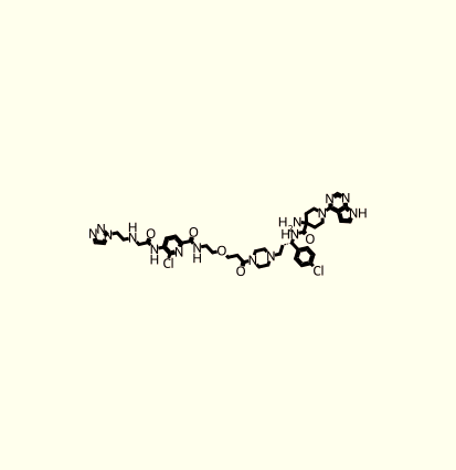 NC1(C(=O)N[C@@H](CCN2CCN(C(=O)CCOCCNC(=O)c3ccc(NC(=O)CNCCn4ccnn4)c(Cl)n3)CC2)c2ccc(Cl)cc2)CCN(c2ncnc3[nH]ccc23)CC1